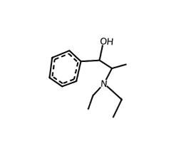 CCN(CC)C(C)C(O)c1ccccc1